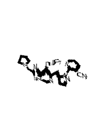 CCCc1c(CC2CC=NN2c2ncccc2C#N)ncn2nc(CN3CCCC3)nc12